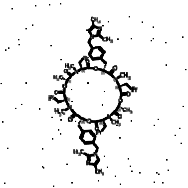 Cc1cn(Cc2ccc(C[C@H]3OC(=O)[C@H](CC(C)C)N(C)C(=O)[C@@H](C)OC(=O)[C@H](CC(C)C)N(C)C(=O)[C@@H](Cc4ccc(Cn5cc(C)nc5C)cc4)OC(=O)[C@H](CC(C)C)N(C)C(=O)[C@@H](C)OC(=O)[C@H](CC(C)C)N(C)C3=O)cc2)c(C)n1